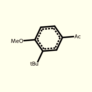 COc1ccc(C(C)=O)cc1C(C)(C)C